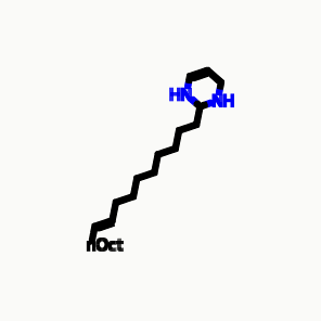 CCCCCCCCC=CCCCCCCCCC1NC=CCN1